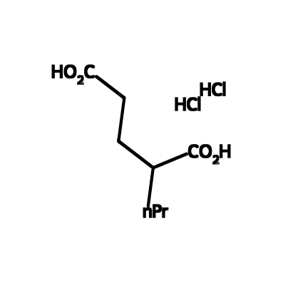 CCCC(CCC(=O)O)C(=O)O.Cl.Cl